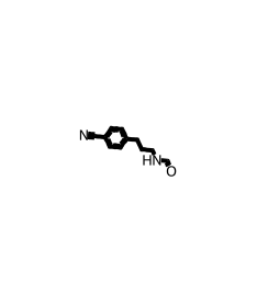 N#Cc1ccc(CCCNC=O)cc1